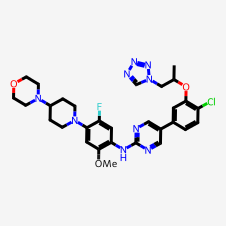 COc1cc(N2CCC(N3CCOCC3)CC2)c(F)cc1Nc1ncc(-c2ccc(Cl)c(OC(C)Cn3cnnn3)c2)cn1